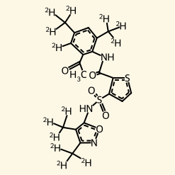 [2H]c1c(C([2H])([2H])[2H])cc(C([2H])([2H])[2H])c(NC(=O)c2sccc2S(=O)(=O)Nc2onc(C([2H])([2H])[2H])c2C([2H])([2H])[2H])c1C(C)=O